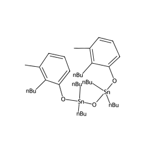 CCCCc1c(C)cccc1[O][Sn]([CH2]CCC)([CH2]CCC)[O][Sn]([CH2]CCC)([CH2]CCC)[O]c1cccc(C)c1CCCC